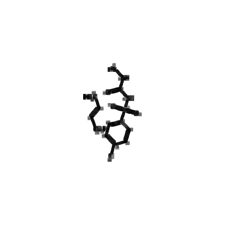 CCCNC(=O)NS(=O)(=O)c1ccc(Cl)cc1.O=C(O)C=CC(=O)O